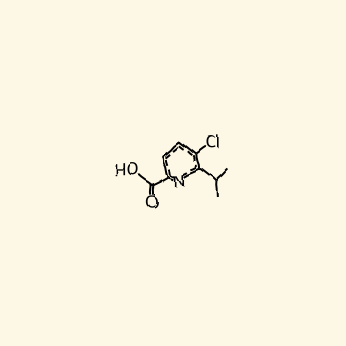 CC(C)c1nc(C(=O)O)ccc1Cl